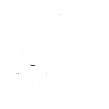 COc1ccccc1COc1ccc2c(c1)CCN(C(=O)OC(C)(C)C)[C@H]2C(O)OC